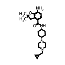 CC1(C)Cc2c(C(=O)N[C@H]3CC[C@H](N4CCN(CC5CC5)CC4)CC3)ccc(N)c2O1